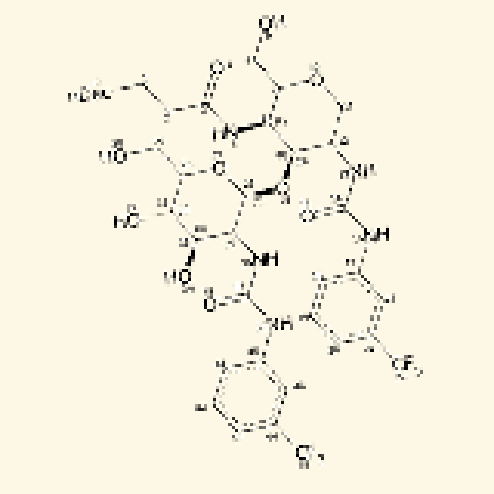 CCCCCCCCCCCCC(=O)N[C@H]1C(CO)OCC(NC(=O)Nc2cccc(C(F)(F)F)c2)[C@H]1O[C@@H]1OC(CO)[C@@H](O)[C@H](O)C1NC(=O)Nc1cccc(C(F)(F)F)c1